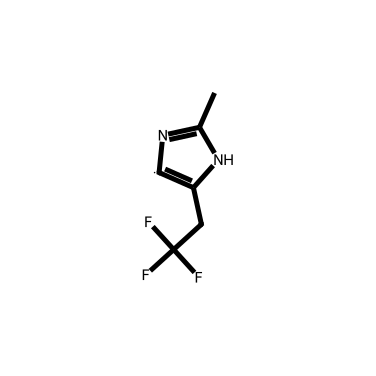 Cc1n[c]c(CC(F)(F)F)[nH]1